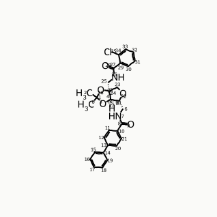 CC1(C)O[C@@H]2[C@@H](CNC(=O)c3ccc(-c4ccccc4)cc3)OC[C@]2(CNC(=O)c2ccccc2Cl)O1